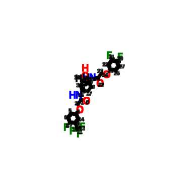 O=C(COc1ccc(F)c(C(F)(F)F)c1)NC12CCC(NC(=O)COc3ccc(F)c(F)c3)(CC1)[C@@H](O)C2